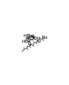 CCCCCCCCCCOC[CH2][Na].O=C(O)CC(C(=O)O)S(=O)(=O)O